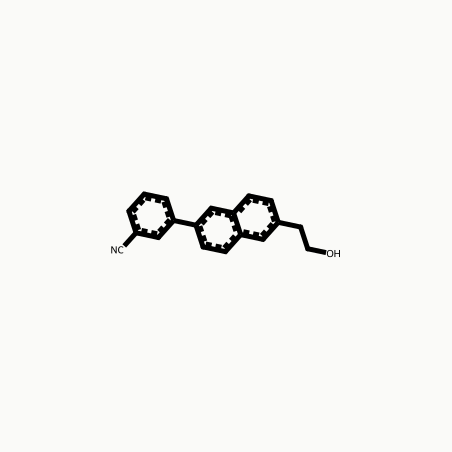 N#Cc1cccc(-c2ccc3cc(CCO)ccc3c2)c1